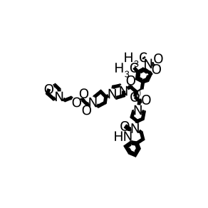 Cc1cc(C[C@@H](OC(=O)N2CCC(N3CCc4ccccc4NC3=O)CC2)C(=O)N2CCN(C3CCN(C(=O)C(=O)OCCN4CCOCC4)CC3)CC2)cc2oc(=O)n(C)c12